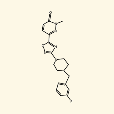 Cn1nc(-c2nc(N3CCC(Cc4cccc(F)c4)CC3)no2)ccc1=O